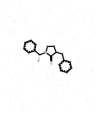 C[C@H](c1ccccc1)N1CCC(Cc2ccccc2)C1=O